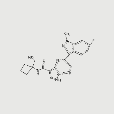 Cn1nc(-c2cnc3[nH]cc(C(=O)NC4(CO)CCC4)c3n2)c2ccc(F)cc21